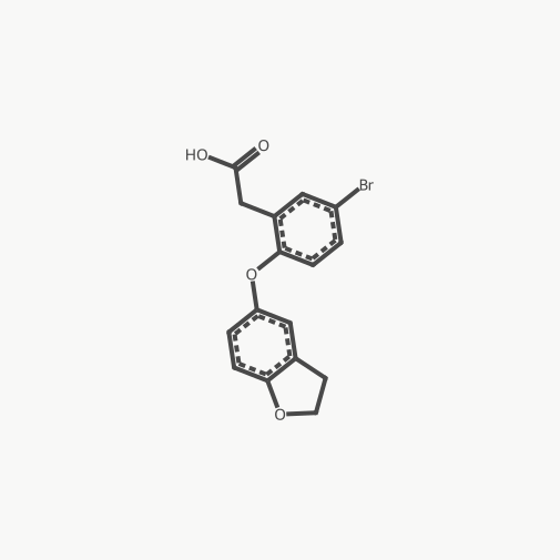 O=C(O)Cc1cc(Br)ccc1Oc1ccc2c(c1)CCO2